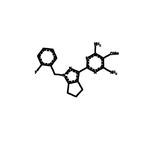 COc1c(N)nc(-c2nn(Cc3ccccc3F)c3c2CCC3)nc1N